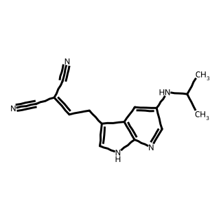 CC(C)Nc1cnc2[nH]cc(CC=C(C#N)C#N)c2c1